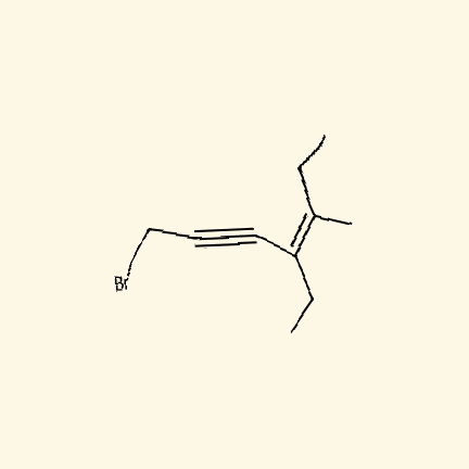 CC/C(C)=C(\C#CCBr)CC